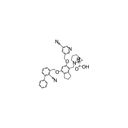 N#Cc1cncc(COc2cc(OCc3cccc(-c4ccccc4)c3C#N)c3c(c2CN2CCC[C@H]4C[C@]42C(=O)O)CCC3)c1